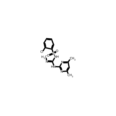 CN=C(Nc1nc(C)cc(C)n1)NS(=O)(=O)c1ccccc1Cl